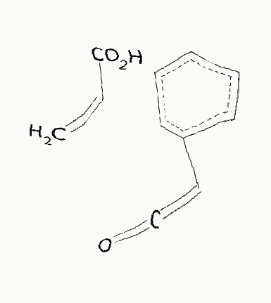 C=CC(=O)O.O=C=Cc1ccccc1